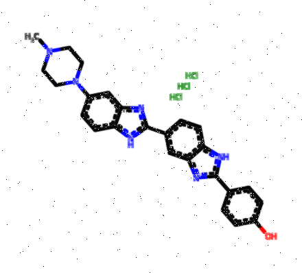 CN1CCN(c2ccc3[nH]c(-c4ccc5[nH]c(-c6ccc(O)cc6)nc5c4)nc3c2)CC1.Cl.Cl.Cl